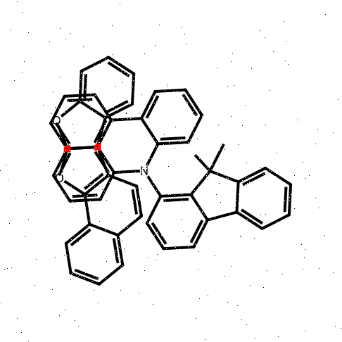 CC1(C)c2ccccc2-c2cccc(N(c3ccccc3-c3cccc4oc5c6ccccc6ccc5c34)c3cccc4oc5ccccc5c34)c21